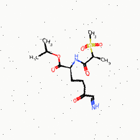 CC(C)OC(=O)[C@H](CCC(=O)C=N)NC(=O)[C@H](C)S(C)(=O)=O